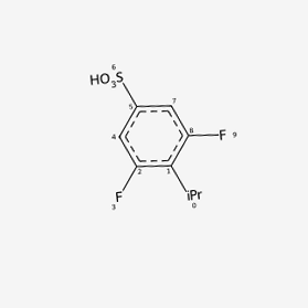 CC(C)c1c(F)cc(S(=O)(=O)O)cc1F